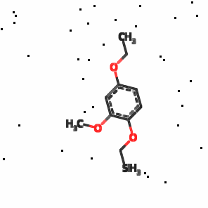 CCOc1ccc(OC[SiH3])c(OC)c1